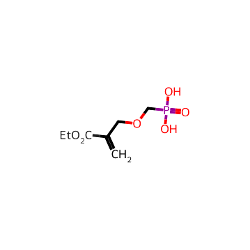 C=C(COCP(=O)(O)O)C(=O)OCC